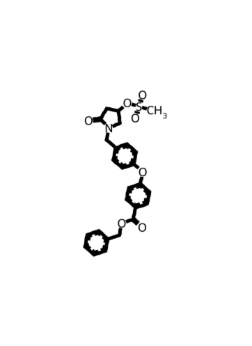 CS(=O)(=O)OC1CC(=O)N(Cc2ccc(Oc3ccc(C(=O)OCc4ccccc4)cc3)cc2)C1